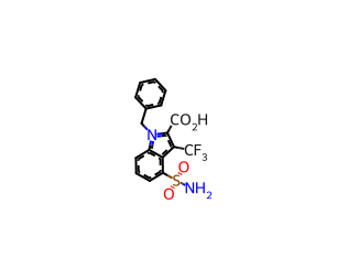 NS(=O)(=O)c1cccc2c1c(C(F)(F)F)c(C(=O)O)n2Cc1ccccc1